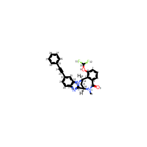 CN1C(=O)c2cccc(OC(F)F)c2[C@H]2C[C@@H]1c1nc3ccc(C#Cc4ccccc4)cc3n12